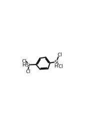 Cl[SiH](Cl)c1ccc([SiH](Cl)Cl)cc1